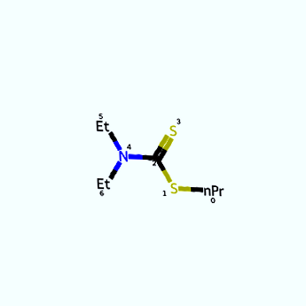 CCCSC(=S)N(CC)CC